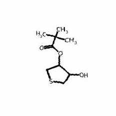 CC(C)(C)C(=O)OC1CSCC1O